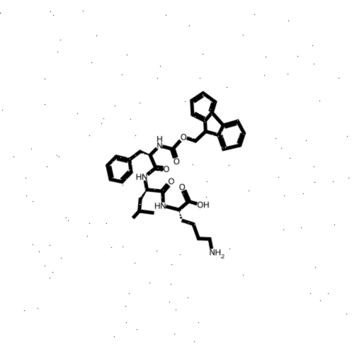 CC(C)C[C@@H](NC(=O)[C@@H](Cc1ccccc1)NC(=O)OCC1c2ccccc2-c2ccccc21)C(=O)N[C@@H](CCCCN)C(=O)O